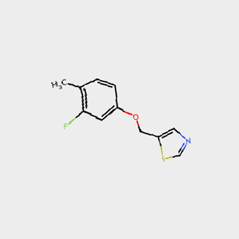 Cc1ccc(OCc2cncs2)cc1F